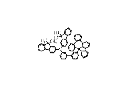 CC1(C)c2ccccc2-c2ccc(N(c3cccc(-c4cccc(C5(c6ccccc6)c6ccccc6-c6ccccc6-c6ccccc65)c4)c3)c3ccc4c(c3)C(C)(C)c3ccccc3-4)cc21